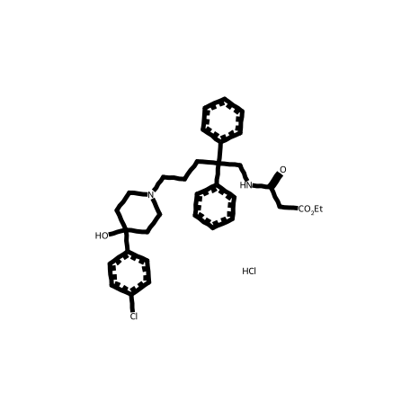 CCOC(=O)CC(=O)NCC(CCCN1CCC(O)(c2ccc(Cl)cc2)CC1)(c1ccccc1)c1ccccc1.Cl